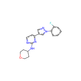 Fc1ccccc1-n1cc(-c2ccnc(NC3CCOCC3)n2)cn1